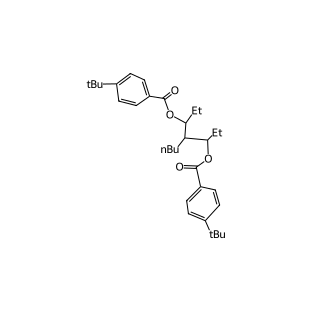 CCCCC(C(CC)OC(=O)c1ccc(C(C)(C)C)cc1)C(CC)OC(=O)c1ccc(C(C)(C)C)cc1